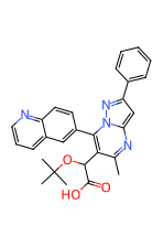 Cc1nc2cc(-c3ccccc3)nn2c(-c2ccc3ncccc3c2)c1C(OC(C)(C)C)C(=O)O